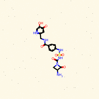 NC1CN(C(=O)NS(=O)(=O)Nc2ccc(C(=O)NCc3cc(=O)c(O)c[nH]3)cc2)C1=O